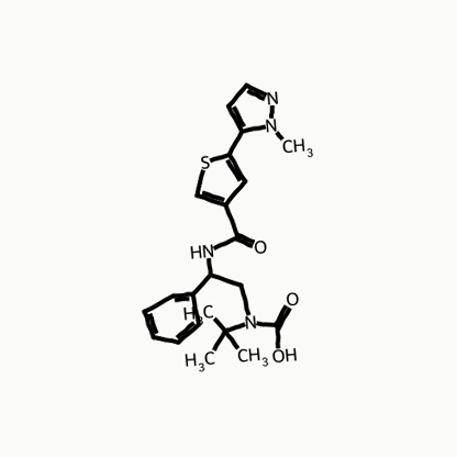 Cn1nccc1-c1cc(C(=O)NC(CN(C(=O)O)C(C)(C)C)c2ccccc2)cs1